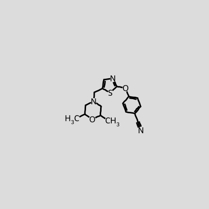 CC1CN(Cc2cnc(Oc3ccc(C#N)cc3)s2)CC(C)O1